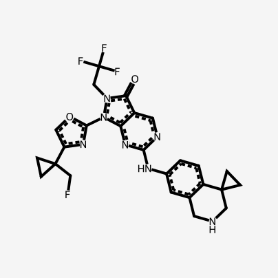 O=c1c2cnc(Nc3ccc4c(c3)CNCC43CC3)nc2n(-c2nc(C3(CF)CC3)co2)n1CC(F)(F)F